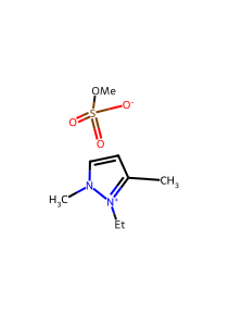 CC[n+]1c(C)ccn1C.COS(=O)(=O)[O-]